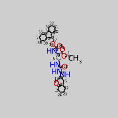 CCOC(=O)[C@H](CCNC(=O)NN[C@H](C=O)Cc1ccccc1)NC(=O)OCC1c2ccccc2-c2ccccc21